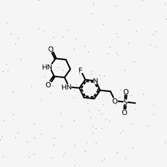 CS(=O)(=O)OCc1ccc(NC2CCC(=O)NC2=O)c(F)n1